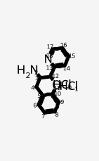 Cl.Cl.NC1Cc2ccccc2OC1c1ccccn1